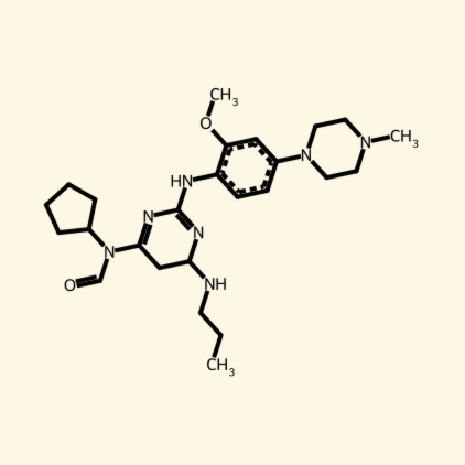 CCCNC1CC(N(C=O)C2CCCC2)=NC(Nc2ccc(N3CCN(C)CC3)cc2OC)=N1